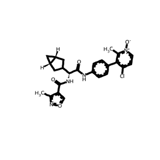 Cc1nocc1C(=O)N[C@@H](C(=O)Nc1ccc(-c2c(Cl)cc[n+]([O-])c2C)cc1)C1C[C@@H]2C[C@@H]2C1